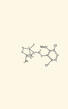 COc1c(Cl)ccc(Cl)c1COC1CC2(C(C)C)CCC1(C)O2